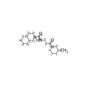 CC1CCCN(C(=O)CCNC(=O)N2CCC3CCCCC3C2)C1